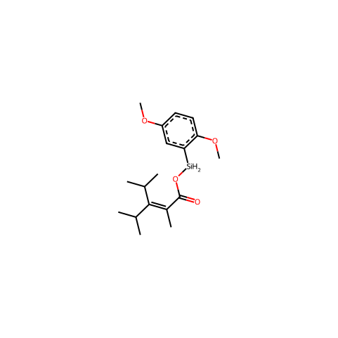 COc1ccc(OC)c([SiH2]OC(=O)C(C)=C(C(C)C)C(C)C)c1